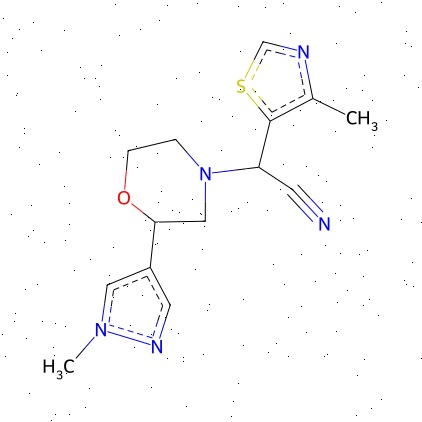 Cc1ncsc1C(C#N)N1CCOC(c2cnn(C)c2)C1